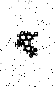 CS(=O)(=O)c1ccc(-c2[nH]nc(CO)c2-c2ccc(Cl)cc2)cc1